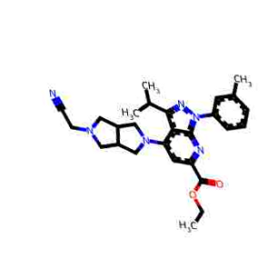 CCOC(=O)c1cc(N2CC3CN(CC#N)CC3C2)c2c(C(C)C)nn(-c3cccc(C)c3)c2n1